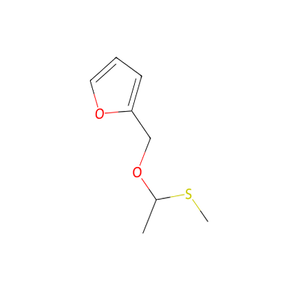 CSC(C)OCc1ccco1